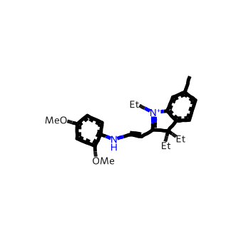 CC[N+]1=C(C=CNc2ccc(OC)cc2OC)C(CC)(CC)c2ccc(C)cc21